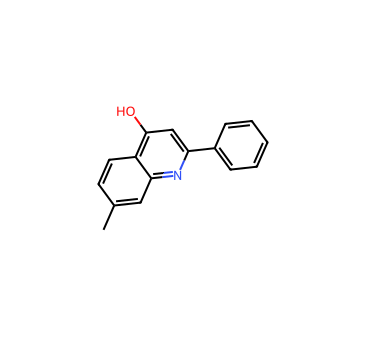 Cc1ccc2c(O)cc(-c3ccccc3)nc2c1